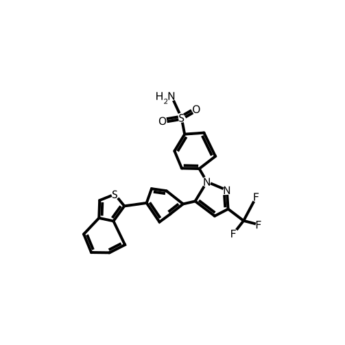 NS(=O)(=O)c1ccc(-n2nc(C(F)(F)F)cc2-c2ccc(-c3scc4ccccc34)cc2)cc1